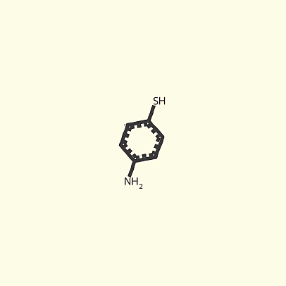 Nc1c[c]c(S)cc1